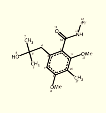 COc1cc(CC(C)(C)O)c(C(=O)NC(C)C)c(OC)c1C